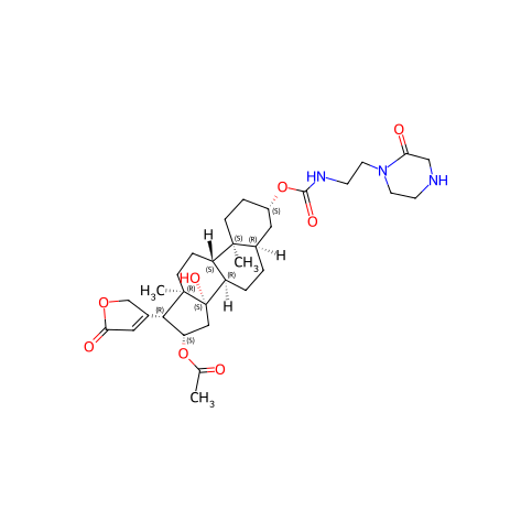 CC(=O)O[C@H]1C[C@]2(O)[C@@H]3CC[C@@H]4C[C@@H](OC(=O)NCCN5CCNCC5=O)CC[C@]4(C)[C@H]3CC[C@]2(C)[C@H]1C1=CC(=O)OC1